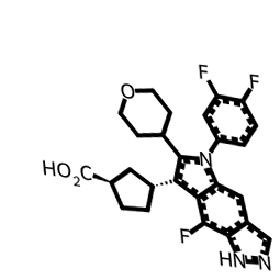 O=C(O)[C@@H]1CC[C@@H](c2c(C3CCOCC3)n(-c3ccc(F)c(F)c3)c3cc4cn[nH]c4c(F)c23)C1